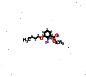 CCCCOc1cccc(C(=O)OC)c1I